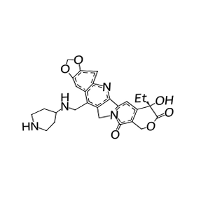 CC[C@@]1(O)C(=O)OCc2c1cc1n(c2=O)Cc2c-1nc1cc3c(cc1c2CNC1CCNCC1)OCO3